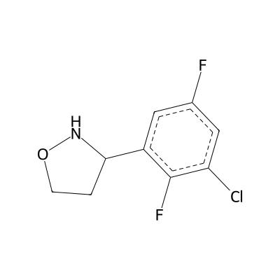 Fc1cc(Cl)c(F)c(C2CCON2)c1